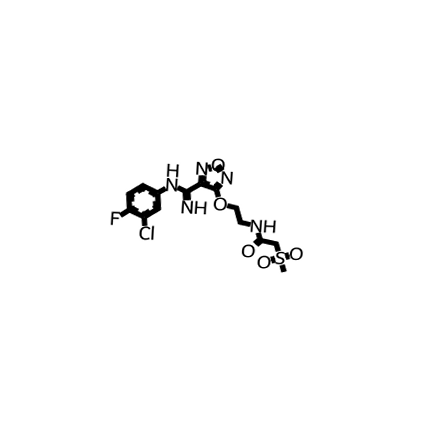 CS(=O)(=O)CC(=O)NCCOc1nonc1C(=N)Nc1ccc(F)c(Cl)c1